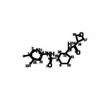 Cc1cnc(NC(=O)[C@H]2CCCC(NC(=O)C3COC3)C2)cc1I